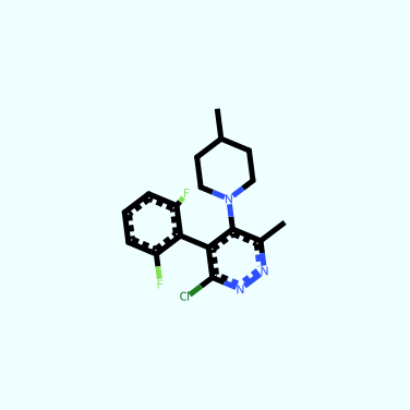 Cc1nnc(Cl)c(-c2c(F)cccc2F)c1N1CCC(C)CC1